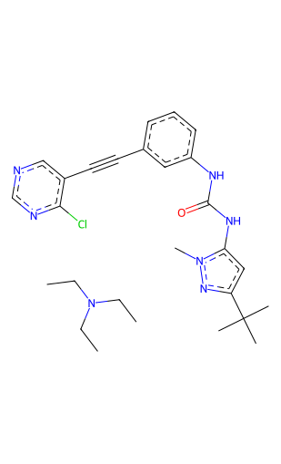 CCN(CC)CC.Cn1nc(C(C)(C)C)cc1NC(=O)Nc1cccc(C#Cc2cncnc2Cl)c1